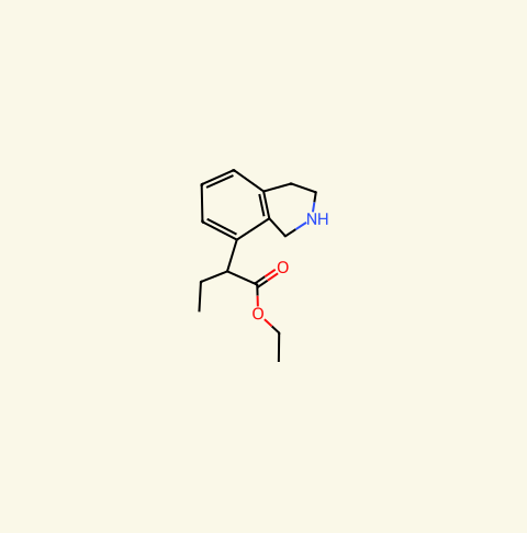 CCOC(=O)C(CC)c1cccc2c1CNCC2